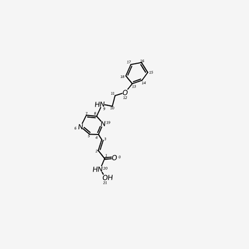 O=C(/C=C/c1cncc(NCCOc2ccccc2)n1)NO